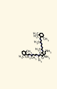 CC1=C(/C=C/C(C)=C/C=C/C(C)=C/C(=O)C(N)(CCN)C(=O)/C=C(C)/C=C/C=C(C)/C=C/C2=C(C)CCCC2(C)C)C(C)(C)CCC1